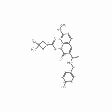 CNc1ccc2cc(C(=O)NCc3ccc(Cl)cc3)c(=O)n(CC(=O)N3CC(C)(O)C3)c2n1